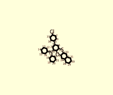 Clc1ccc(-c2cc3c(c(N(c4ccccc4)c4ccccc4)c2)Oc2cc4ccccc4cc2S3)cc1